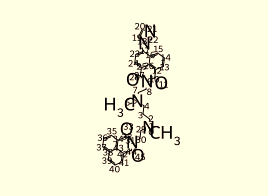 CN(CCCN(C)CCN1C(=O)c2cccc3c(-n4ccnc4)ccc(c23)C1=O)CCN1C(=O)c2cccc3cccc(c23)C1=O